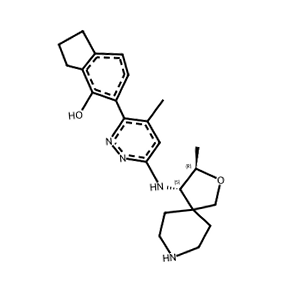 Cc1cc(N[C@@H]2[C@@H](C)OCC23CCNCC3)nnc1-c1ccc2c(c1O)CCC2